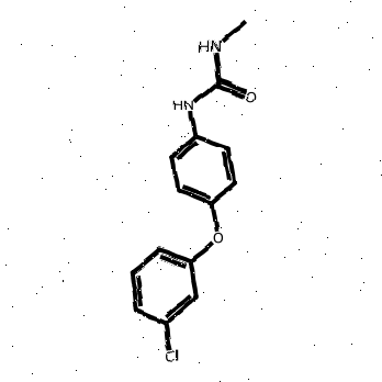 CNC(=O)Nc1ccc(Oc2cccc(Cl)c2)cc1